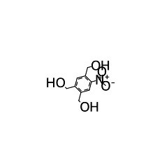 O=[N+]([O-])c1cc(CO)c(CO)cc1CO